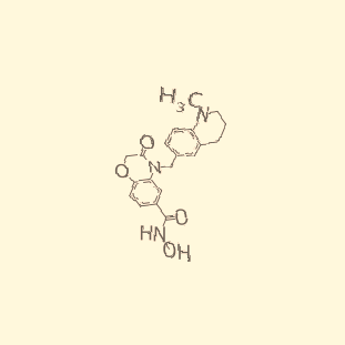 CN1CCCc2cc(CN3C(=O)COc4ccc(C(=O)NO)cc43)ccc21